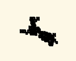 CCCC[C@H](NC(=O)[C@H](Cc1ccc(CS(=O)(=O)O)cc1)NC(=O)C[C@@H](N)C(=O)O)C(=O)CN[C@@H](CCCC)C(=O)N(C)[C@H](CC(=O)O)C(=O)N(C)[C@@H](Cc1ccccc1)C(N)=O